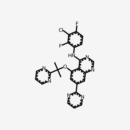 CC(C)(Oc1cc(-c2ncccn2)cc2ncnc(Nc3ccc(F)c(Cl)c3F)c12)c1ncccn1